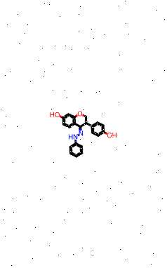 Oc1ccc(C2COc3cc(O)ccc3C2=NNc2ccccc2)cc1